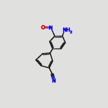 N#Cc1cccc(-c2ccc(N)c(N=O)c2)c1